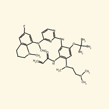 BC(B)(B)Oc1cc(N(C)CCN(C)C)c(NC(=O)C=C)cc1Nc1nccc(N(C=O)c2cc(F)cc3c2N(C)CCC3)n1